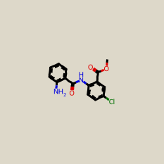 COC(=O)c1cc(Cl)ccc1NC(=O)c1ccccc1N